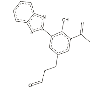 C=C(C)c1cc(CCC=O)cc(-n2nc3ccccc3n2)c1O